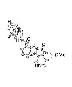 COCCN(C(=O)c1cn2c(C(=O)NC[C@@H]3CC[C@H]4C[C@@H]3C4(C)C)cccc2n1)C1CCNCC1